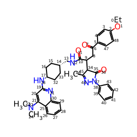 CCOc1ccc(C(=O)CC(C(=O)NC[C@H]2CC[C@@H](Nc3cc(N(C)C)c4ccccc4n3)CC2)C2C(=O)N(c3ccccc3)N=C2C)cc1